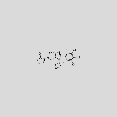 COc1cc(-c2nc3ccc(N4CCOC4=O)cc3n2C2(C)COC2)c(F)c(O)c1O